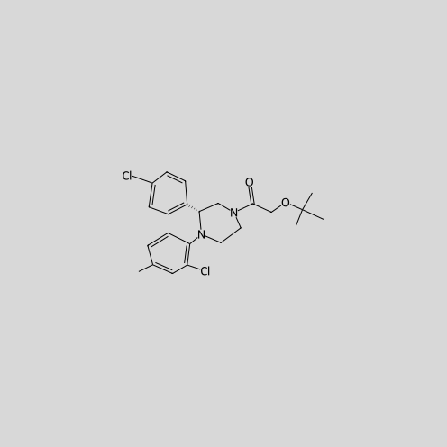 Cc1ccc(N2CCN(C(=O)COC(C)(C)C)C[C@H]2c2ccc(Cl)cc2)c(Cl)c1